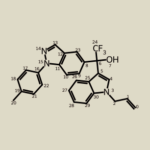 C=CCn1cc(C(O)(c2ccc3c(cnn3-c3ccc(C)cc3)c2)C(F)(F)F)c2ccccc21